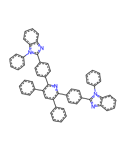 c1ccc(-c2cc(-c3ccccc3)c(-c3ccc(-c4nc5ccccc5n4-c4ccccc4)cc3)nc2-c2ccc(-c3nc4ccccc4n3-c3ccccc3)cc2)cc1